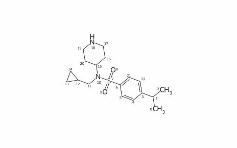 CC(C)c1ccc(S(=O)(=O)N(CC2CC2)C2CCNCC2)cc1